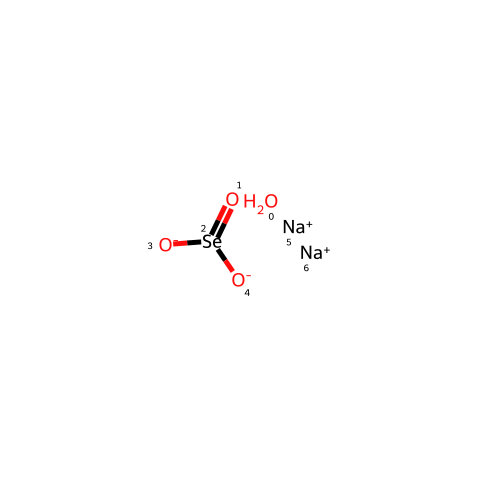 O.O=[Se]([O-])[O-].[Na+].[Na+]